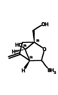 BC1O[C@@]2(CO)CC(=C)[C@@H]1[C@H]2O